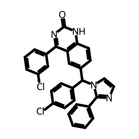 O=c1nc(-c2cccc(Cl)c2)c2cc(C(c3ccc(Cl)cc3)n3ccnc3-c3ccccc3)ccc2[nH]1